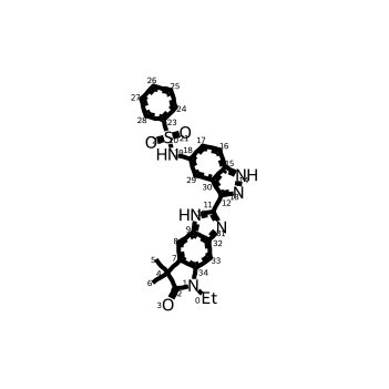 CCN1C(=O)C(C)(C)c2cc3[nH]c(-c4n[nH]c5ccc(NS(=O)(=O)c6ccccc6)cc45)nc3cc21